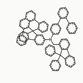 c1ccc(-c2ccccc2-c2ccc(N(Cc3cccc4c3C(c3ccccc3)(c3ccccc3)c3ccccc3-4)c3ccc4c(c3)C3(c5ccccc5-4)c4ccccc4-c4cccc5ccc(-c6ccccc6)c3c45)cc2)cc1